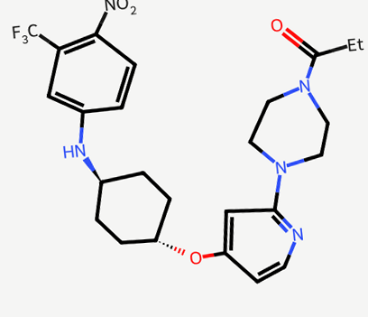 CCC(=O)N1CCN(c2cc(O[C@H]3CC[C@H](Nc4ccc([N+](=O)[O-])c(C(F)(F)F)c4)CC3)ccn2)CC1